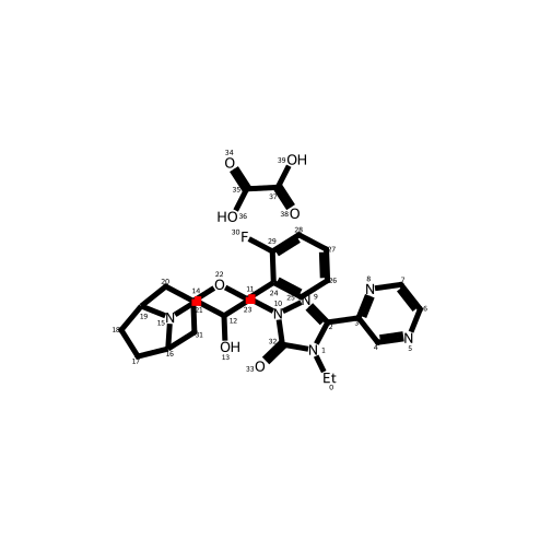 CCn1c(-c2cnccn2)nn(CC(O)CN2C3CCC2CC(OCc2ccccc2F)C3)c1=O.O=C(O)C(=O)O